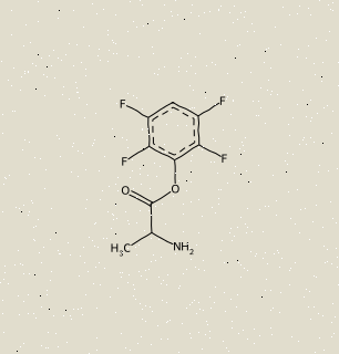 CC(N)C(=O)Oc1c(F)c(F)cc(F)c1F